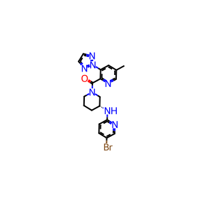 Cc1cnc(C(=O)N2CCC[C@@H](Nc3ccc(Br)cn3)C2)c(-n2nccn2)c1